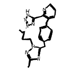 CCCCn1nc(C)nc1Cc1ccc(-c2cccnc2-c2nnn[nH]2)cc1